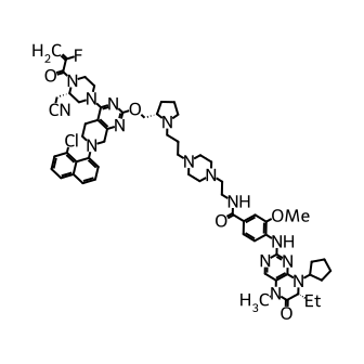 C=C(F)C(=O)N1CCN(c2nc(OC[C@@H]3CCCN3CCCN3CCN(CCNC(=O)c4ccc(Nc5ncc6c(n5)N(C5CCCC5)[C@H](CC)C(=O)N6C)c(OC)c4)CC3)nc3c2CCN(c2cccc4cccc(Cl)c24)C3)C[C@@H]1CC#N